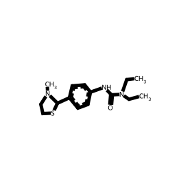 CCN(CC)C(=O)Nc1ccc(C2SCCN2C)cc1